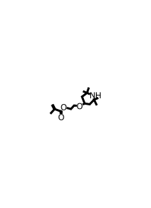 C=C(C)C(=O)OCCOC1CC(C)(C)NC(C)(C)C1